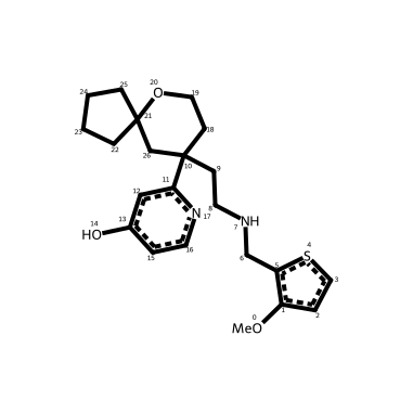 COc1ccsc1CNCCC1(c2cc(O)ccn2)CCOC2(CCCC2)C1